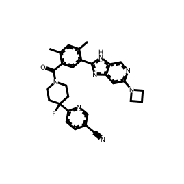 Cc1cc(C)c(-c2nc3cc(N4CCC4)ncc3[nH]2)cc1C(=O)N1CCC(F)(c2ccc(C#N)cn2)CC1